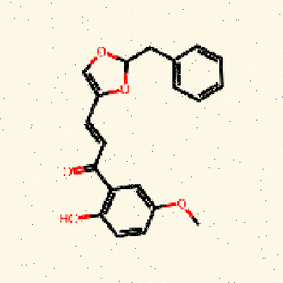 COc1ccc(O)c(C(=O)C=CC2=COC(Cc3ccccc3)O2)c1